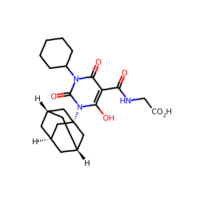 O=C(O)CNC(=O)c1c(O)n([C@]23C[C@H]4C[C@H](C[C@H](C4)C2)C3)c(=O)n(C2CCCCC2)c1=O